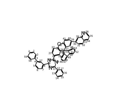 c1ccc(-c2cccc(-c3nc(-c4ccccc4)nc(-c4ccc5c(c4)C4(c6cc(-c7ccc8cccnc8c7)ccc6O5)c5ccccc5-c5ccccc54)n3)c2)cc1